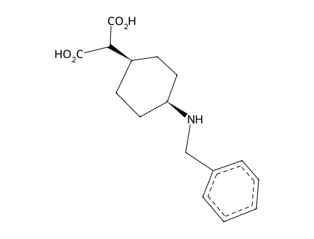 O=C(O)C(C(=O)O)[C@H]1CC[C@@H](NCc2ccccc2)CC1